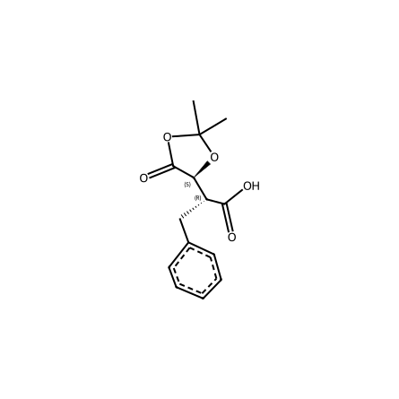 CC1(C)OC(=O)[C@H]([C@@H](Cc2ccccc2)C(=O)O)O1